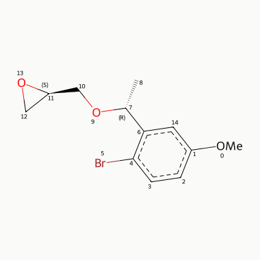 COc1ccc(Br)c([C@@H](C)OC[C@H]2CO2)c1